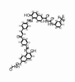 O=CNOCc1ccc2c(N=Nc3ccc(C(=O)C=Cc4ccc(N=Nc5c(O)ccc6cc(C(=O)NC(=O)Nc7cccc(C(F)(F)F)c7)ccc56)cc4)cc3)c(O)ccc2c1